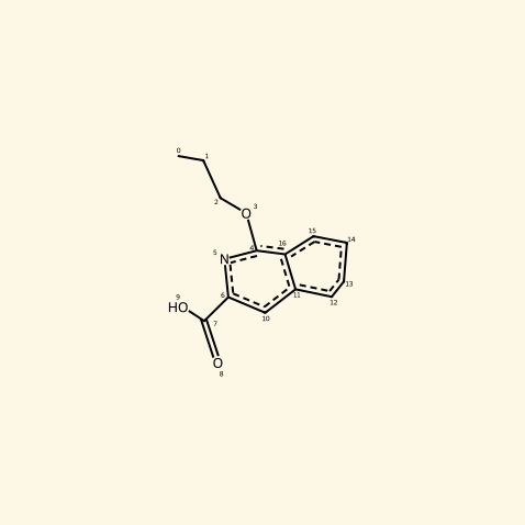 CCCOc1nc(C(=O)O)cc2ccccc12